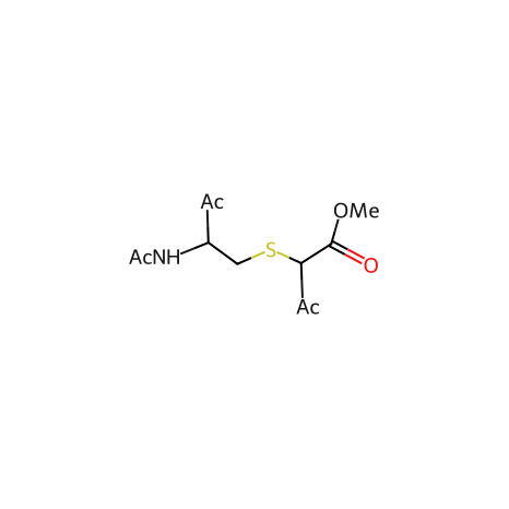 COC(=O)C(SCC(NC(C)=O)C(C)=O)C(C)=O